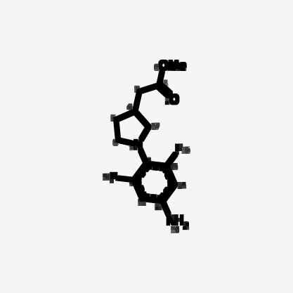 COC(=O)CC1CCN(c2c(F)cc(N)cc2F)C1